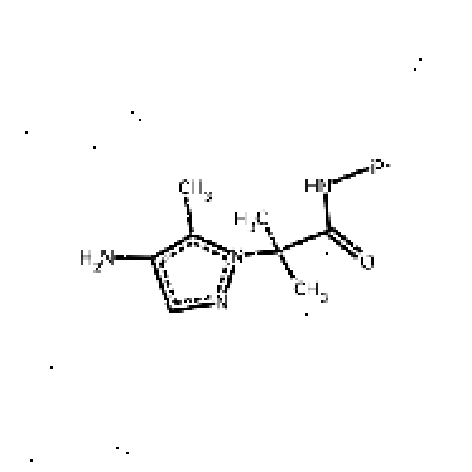 Cc1c(N)cnn1C(C)(C)C(=O)NC(C)C